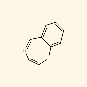 [C]1=CSc2ccccc2C=N1